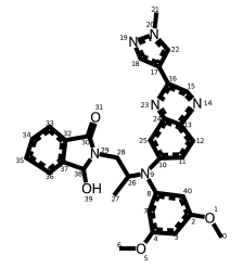 COc1cc(OC)cc(N(c2ccc3ncc(-c4cnn(C)c4)nc3c2)C(C)CN2C(=O)c3ccccc3C2O)c1